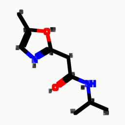 Cc1cnc(CC(=O)NC(C)C)o1